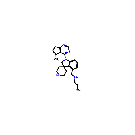 COCCNCc1cccc2c1C1(CCNCC1)CN2c1ncnc2c1[C@H](C)CC2